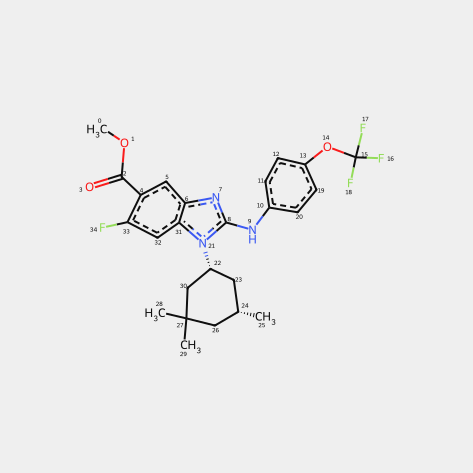 COC(=O)c1cc2nc(Nc3ccc(OC(F)(F)F)cc3)n([C@@H]3C[C@H](C)CC(C)(C)C3)c2cc1F